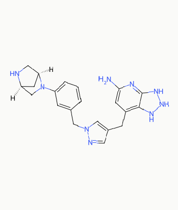 Nc1cc(Cc2cnn(Cc3cccc(N4C[C@@H]5C[C@H]4CN5)c3)c2)c2c(n1)NNN2